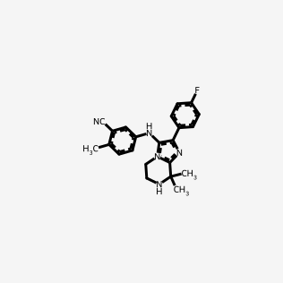 Cc1ccc(Nc2c(-c3ccc(F)cc3)nc3n2CCNC3(C)C)cc1C#N